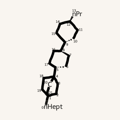 CCCCCCCC12CCC([C@H]3CC[C@H]([C@H]4CC[C@H](CCC)CC4)CC3)(CC1)CC2